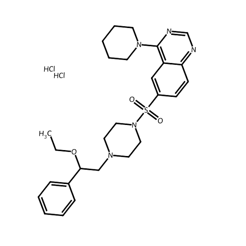 CCOC(CN1CCN(S(=O)(=O)c2ccc3ncnc(N4CCCCC4)c3c2)CC1)c1ccccc1.Cl.Cl